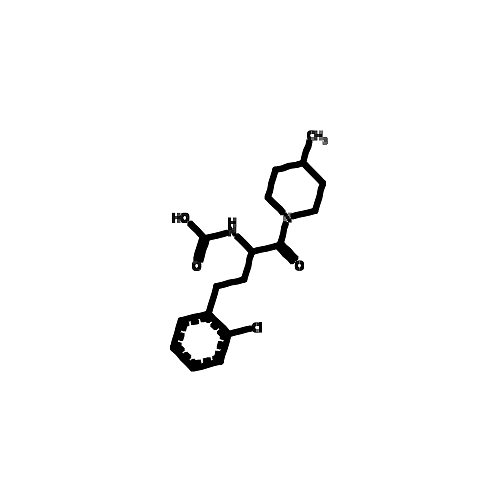 CC1CCN(C(=O)C(CCc2ccccc2Cl)NC(=O)O)CC1